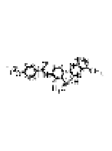 Cc1n[nH]c2ncc(N[C@@H](C)c3cccc(NC(=O)c4ccc(OC(F)(F)F)nc4)c3)nc12